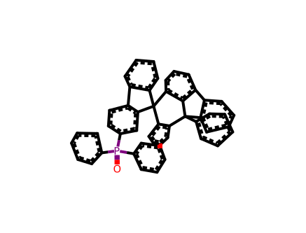 O=P(c1ccccc1)(c1ccccc1)c1ccc2c(c1)C1(c3ccccc3-2)c2ccccc2C2(c3ccccc3)c3ccccc3-c3cccc1c32